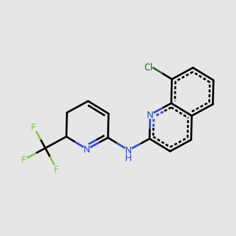 FC(F)(F)C1CC=CC(Nc2ccc3cccc(Cl)c3n2)=N1